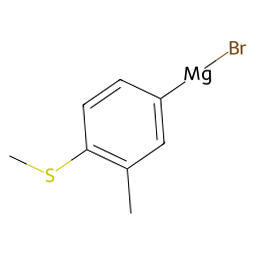 CSc1cc[c]([Mg][Br])cc1C